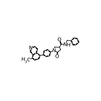 Cc1ccc(-c2ccc(N3CC(C(=O)NCc4ccccc4)CC3=O)cc2)c2ccncc12